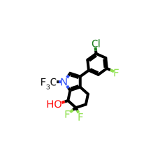 OC1c2c(c(-c3cc(F)cc(Cl)c3)cn2C(F)(F)F)CCC1(F)F